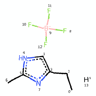 CCc1c[nH]c(C)n1.F[B-](F)(F)F.[H+]